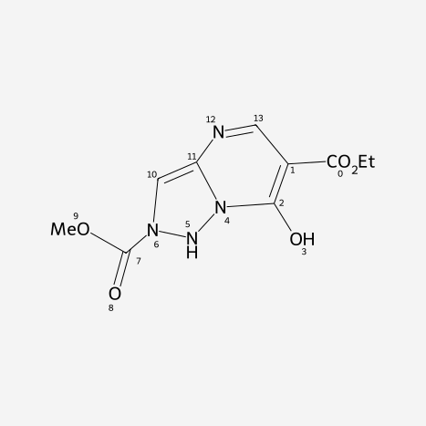 CCOC(=O)C1=C(O)N2NN(C(=O)OC)C=C2N=C1